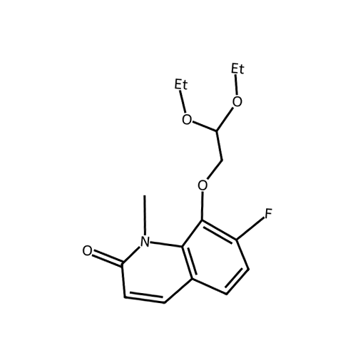 CCOC(COc1c(F)ccc2ccc(=O)n(C)c12)OCC